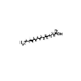 CCCC=CC=CC=CCCCCCCCCC(=O)O